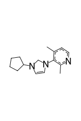 Cc1ccnc(C)c1N1C=CN(C2CCCC2)C1